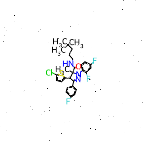 CC(C)(C)CCCNC(=O)C1(C)C(c2ccc(Cl)s2)C(c2ccc(F)cc2)=NN1c1ccc(F)cc1F